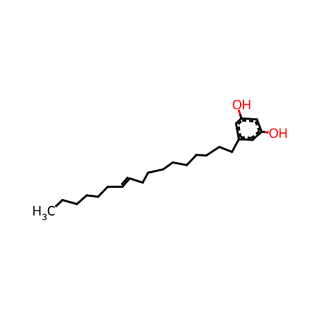 CCCCCC/C=C/CCCCCCCCCc1cc(O)cc(O)c1